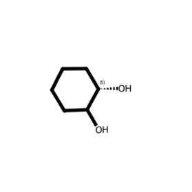 OC1CCCC[C@@H]1O